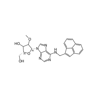 COC1C(O)[C@@H](CO)O[C@H]1n1cnc2c(NCC3=Cc4cccc5cccc3c45)ncnc21